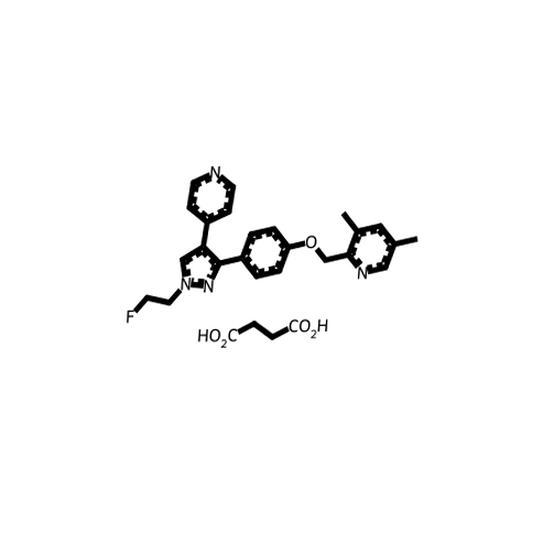 Cc1cnc(COc2ccc(-c3nn(CCF)cc3-c3ccncc3)cc2)c(C)c1.O=C(O)CCC(=O)O